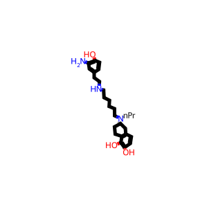 CCCN(CCCCCCNCCc1ccc(O)c(N)c1)[C@H]1CCc2c(ccc(O)c2O)C1